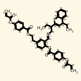 C=CC(=O)Oc1ccc(C(=O)OCCc2ccc(OC(=O)c3ccc(OC(=O)C=C)cc3)c(/C=N/CC(CC)C3=CC(CC)c4ccccc4S3)c2)cc1